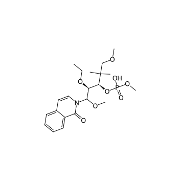 CCO[C@H](C(OC)n1ccc2ccccc2c1=O)[C@H](OP(=O)(O)OC)C(C)(C)COC